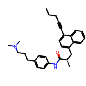 CCCC#Cc1ccc(C[C@@H](C)C(=O)Nc2ccc(CCCN(C)C)cc2)c2ccccc12